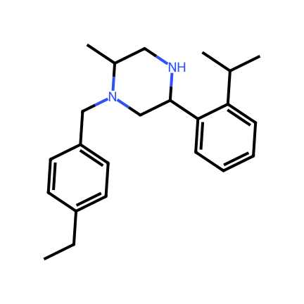 CCc1ccc(CN2CC(c3ccccc3C(C)C)NCC2C)cc1